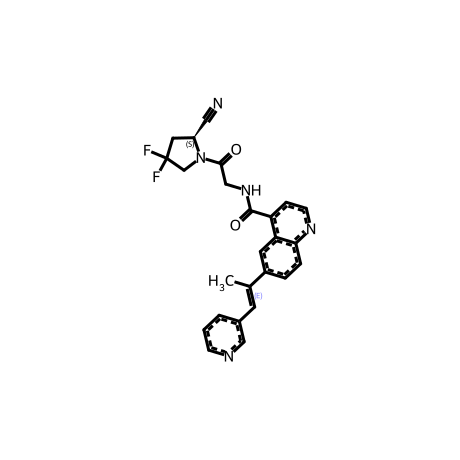 C/C(=C\c1cccnc1)c1ccc2nccc(C(=O)NCC(=O)N3CC(F)(F)C[C@H]3C#N)c2c1